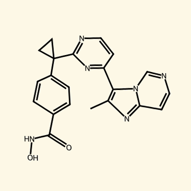 Cc1nc2ccncn2c1-c1ccnc(C2(c3ccc(C(=O)NO)cc3)CC2)n1